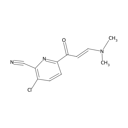 CN(C)C=CC(=O)c1ccc(Cl)c(C#N)n1